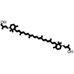 CC1=C(/C=C/C(C)=C/C=C/C(C)=C/C=C/C=C(C)/C=C/C=C(C)/C=C/C2=C(C)CC[C@H](C/C=C(\C)CO)C2(C)C)C(C)(C)[C@@H](C/C=C(\C)CO)CC1